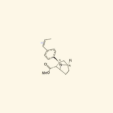 C/C=C\c1ccc([C@H]2C[C@H]3CCC(C2C(=O)OC)N3C)cc1